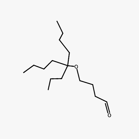 CCCCC(CCC)(CCCC)OCCCC=O